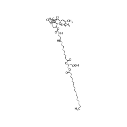 CCCCCCCCCCCCCCCCC(=O)OCC(COO)OC(=O)CCCCCCCCNCCNC(=O)O[C@@H]1CC[C@](O)(CCl)[C@@H]([C@@]2(C)OC2CC=C(C)C)[C@@H]1OC